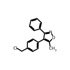 Cc1onc(-c2ccccc2)c1-c1ccc(CCl)cc1